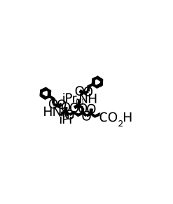 CC(C)[C@H](NC(=O)OCc1ccccc1)C(=O)OCCC(OC(=O)CCC(=O)O)OC(=O)[C@@H](NC(=O)OCc1ccccc1)C(C)C